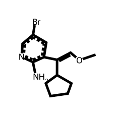 COC=C(c1cc(Br)cnc1N)C1CCCC1